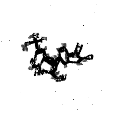 CCC(F)(F)C1=CC2=C(c3ccc4c(c3)CC(=O)N4)C(C(C)(C)C)NN2C=N1